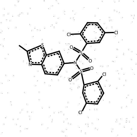 Cc1nc2ccc(N(S(=O)(=O)c3cc(Cl)ccc3Cl)S(=O)(=O)c3cc(Cl)ccc3Cl)cc2s1